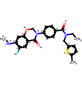 CCN(Cc1ccc(C)s1)C(=O)c1ccc(N2COc3cc(NC)c(F)cc3C2=O)cc1